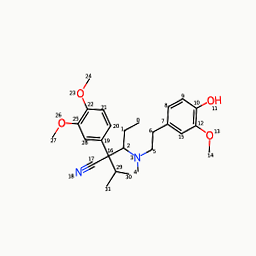 CCC(N(C)CCc1ccc(O)c(OC)c1)C(C#N)(c1ccc(OC)c(OC)c1)C(C)C